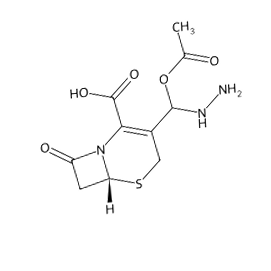 CC(=O)OC(NN)C1=C(C(=O)O)N2C(=O)C[C@H]2SC1